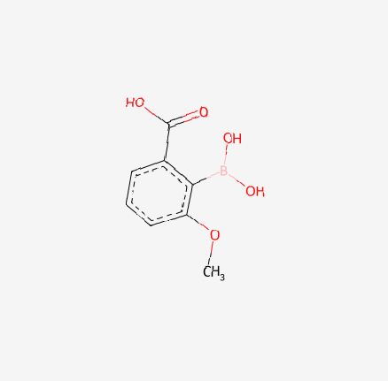 COc1cccc(C(=O)O)c1B(O)O